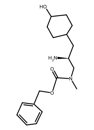 CN(C[C@@H](N)CC1CCC(O)CC1)C(=O)OCc1ccccc1